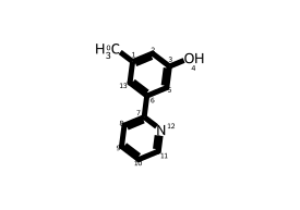 Cc1cc(O)cc(-c2ccccn2)c1